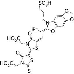 CC(C)C(/C=c1/s/c(=C2\SC(=S)N(CC(=O)O)C2=O)n(CC(=O)O)c1=O)=C1/Oc2cc3c(cc2N1CCCS(=O)(=O)O)OCO3